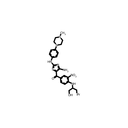 CC(C)CC(CO)Nc1ccc(C(=O)c2sc(Nc3ccc(N4CCN(C)CC4)cc3)nc2N)cc1[N+](=O)[O-]